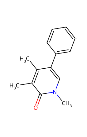 Cc1c(-c2c[c]ccc2)cn(C)c(=O)c1C